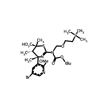 COc1ncc(Br)cc1[C@@]1(C)N=C(N(COCC[Si](C)(C)C)C(=O)OC(C)(C)C)S[C@](C)(C(=O)O)[C@H]1C